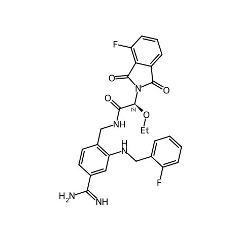 CCO[C@@H](C(=O)NCc1ccc(C(=N)N)cc1NCc1ccccc1F)N1C(=O)c2cccc(F)c2C1=O